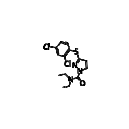 CCN(CC)C(=O)n1ccc(Sc2ccc(Cl)cc2Cl)n1